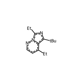 CCc1ccnn2c(CC)nc(C(C)(C)C)c12